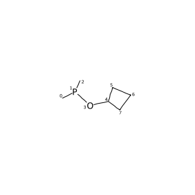 CP(C)OC1CCC1